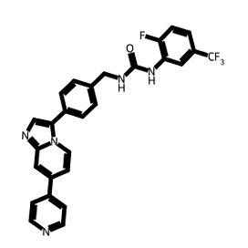 O=C(NCc1ccc(-c2cnc3cc(-c4ccncc4)ccn23)cc1)Nc1cc(C(F)(F)F)ccc1F